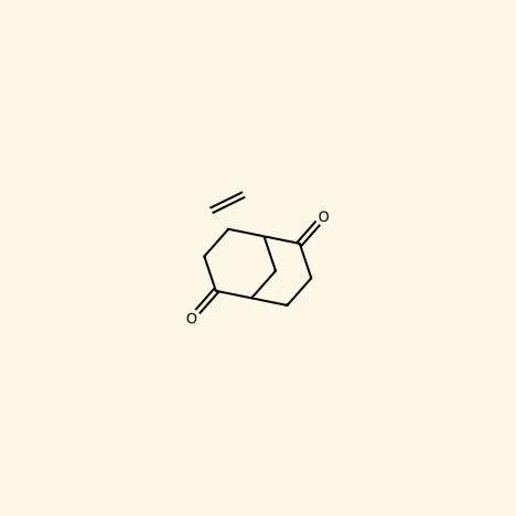 C=C.O=C1CCC2CC1CCC2=O